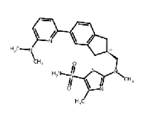 Cc1nc(N(C)C[C@@H]2Cc3ccc(-c4cccc(N(C)C)n4)cc3C2)sc1S(N)(=O)=O